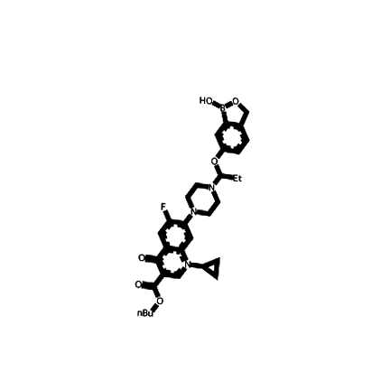 CCCCOC(=O)c1cn(C2CC2)c2cc(N3CCN(C(CC)Oc4ccc5c(c4)B(O)OC5)CC3)c(F)cc2c1=O